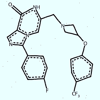 O=c1[nH]c(CN2CC(Oc3ccc(C(F)(F)F)cc3)C2)cn2c(-c3ccc(F)cc3)ncc12